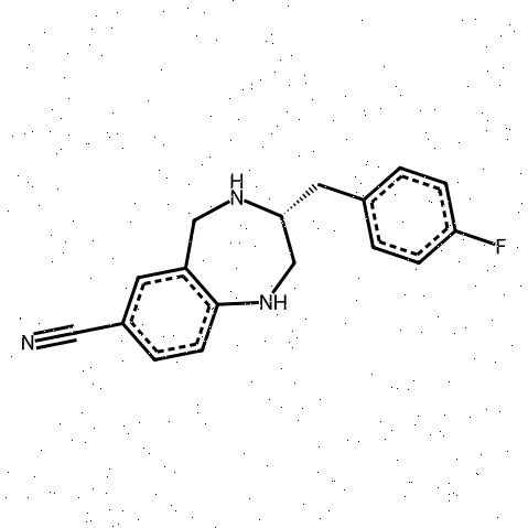 N#Cc1ccc2c(c1)CN[C@H](Cc1ccc(F)cc1)CN2